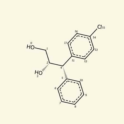 OC[C@@H](O)[C@@H](c1ccccc1)c1ccc(Cl)cc1